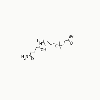 CC(C)C(=O)CCC(C)(C)OCCCC(C)(C)N(F)C(O)CCCC(N)=O